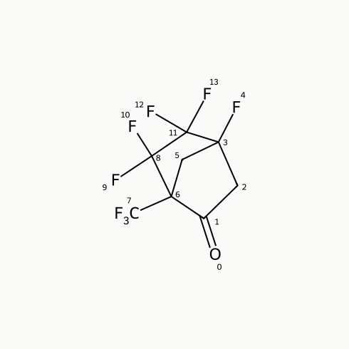 O=C1CC2(F)CC1(C(F)(F)F)C(F)(F)C2(F)F